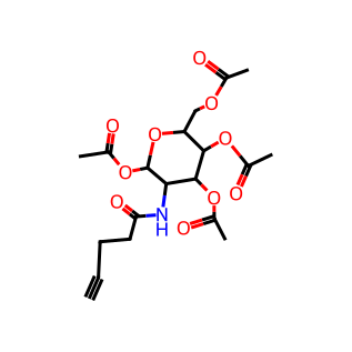 C#CCCC(=O)NC1C(OC(C)=O)OC(COC(C)=O)C(OC(C)=O)C1OC(C)=O